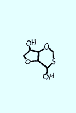 OC1COC2C(O)SCOC12